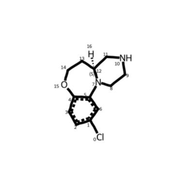 Clc1ccc2c(c1)N1CCNC[C@@H]1CCO2